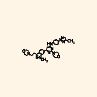 Cc1cnn(-c2ccc(Nc3cc(-c4ccc5c(CCN6CCOCC6)nn(C)c5c4)nc(N4CCOCC4)n3)cc2)n1